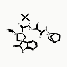 CC(C)(C)C[C@H](NC(=O)C(=O)N[C@H]1CC2CCC1C2)C(=O)N1C[C@]2(C[C@H]1C#N)C(=O)Nc1ccccc12